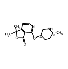 C[C@@H]1CC[C@@H](Oc2nccc3c2C(=O)OC3(C)C)CN1